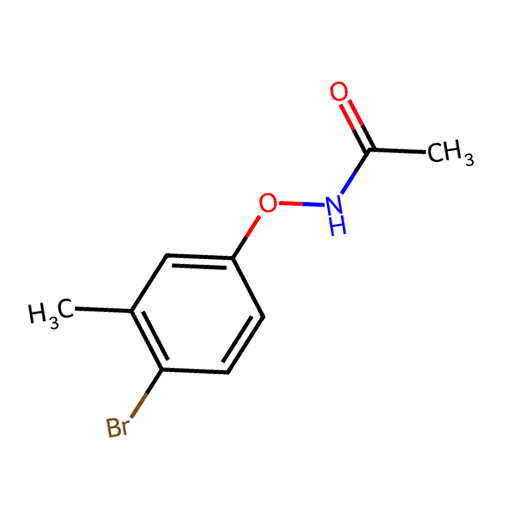 CC(=O)NOc1ccc(Br)c(C)c1